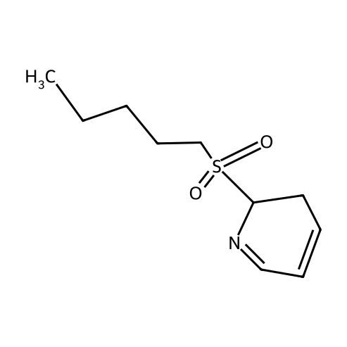 CCCCCS(=O)(=O)C1CC=CC=N1